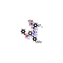 CSc1ccc(C(=O)NN(C(=O)CNC(=O)c2cc(C(F)(F)F)ccc2NC(=O)OC(C)(C)C)C2CCCC(NC(=O)OCc3ccccc3)C2)cc1